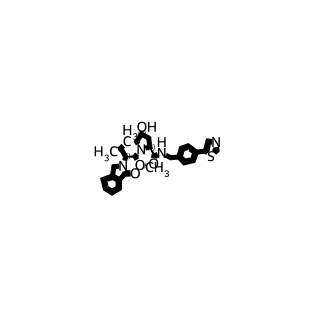 COC([C@H](C(C)C)N1Cc2ccccc2C1=O)N1C[C@H](O)C[C@H]1C(=O)NCc1ccc(-c2cncs2)cc1